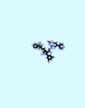 CC(=O)N=C(NC[C@@H](C)c1c(-c2cc(C)cc(C)c2)[nH]c2sc(C(C)(C)C(=O)C3C4CCC3NC4)cc12)N1CCC(c2ccncc2)C1